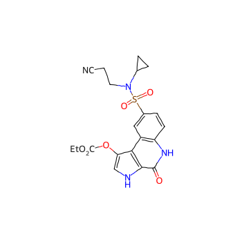 CCOC(=O)Oc1c[nH]c2c(=O)[nH]c3ccc(S(=O)(=O)N(CCC#N)C4CC4)cc3c12